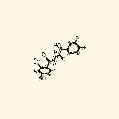 CCc1c(C(=O)NNC(=O)C(O)c2ccc(F)c(F)c2)ccc(O)c1C